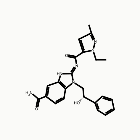 CCn1nc(C)cc1C(=O)/N=c1\[nH]c2cc(C(N)=O)ccc2n1C[C@@H](O)c1ccccc1